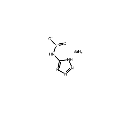 O=[N+]([O-])Nc1nnn[nH]1.[BaH2]